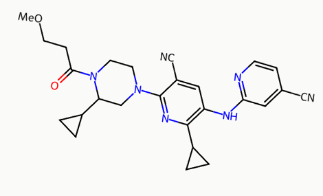 COCCC(=O)N1CCN(c2nc(C3CC3)c(Nc3cc(C#N)ccn3)cc2C#N)CC1C1CC1